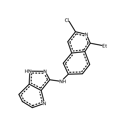 CCc1nc(Cl)cc2cc(Nc3n[nH]c4cccnc34)ccc12